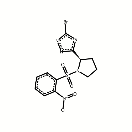 O=[N+]([O-])c1ccccc1S(=O)(=O)N1CCC[C@@H]1c1nnc(Br)s1